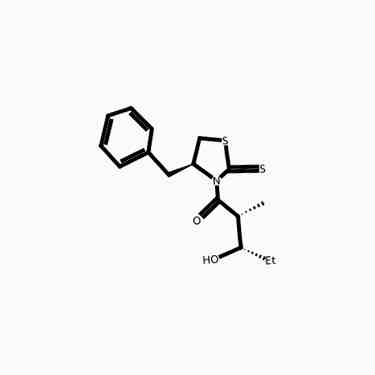 CC[C@H](O)[C@@H](C)C(=O)N1C(=S)SC[C@@H]1Cc1ccccc1